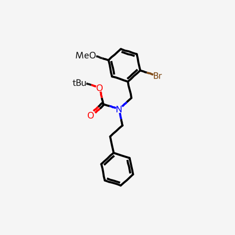 COc1ccc(Br)c(CN(CCc2ccccc2)C(=O)OC(C)(C)C)c1